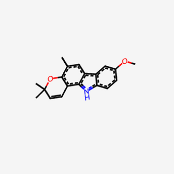 COc1ccc2[nH]c3c4c(c(C)cc3c2c1)OC(C)(C)C=C4